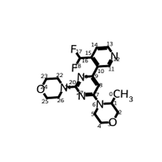 CC1COCCN1c1cc(-c2cnccc2C(F)F)nc(N2CCOCC2)n1